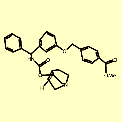 COC(=O)c1ccc(COc2cccc(C(NC(=O)O[C@H]3CN4CCC3CC4)c3ccccc3)c2)cc1